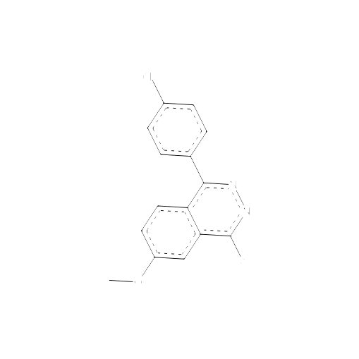 COc1ccc2c(-c3ccc(Cl)cc3)nnc(Cl)c2c1